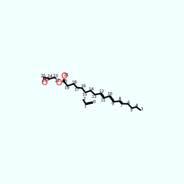 C=CC.CCCCC=CC=CC=CCCCCCCCC(=O)OCC1CO1